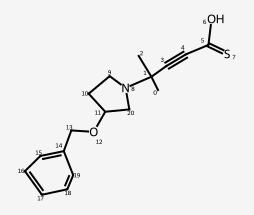 CC(C)(C#CC(O)=S)N1CCC(OCc2ccccc2)C1